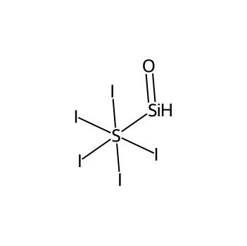 O=[SiH]S(I)(I)(I)(I)I